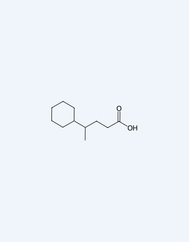 CC(CCC(=O)O)C1CCCCC1